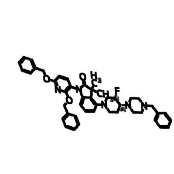 CC1(C)C(=O)N(c2ccc(OCc3ccccc3)nc2OCc2ccccc2)c2cccc(N3CC[C@@H](N4CCN(Cc5ccccc5)CC4)[C@@H](F)C3)c21